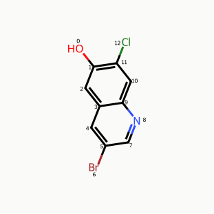 Oc1cc2cc(Br)cnc2cc1Cl